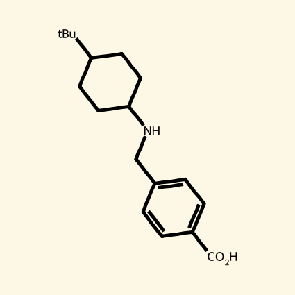 CC(C)(C)C1CCC(NCc2ccc(C(=O)O)cc2)CC1